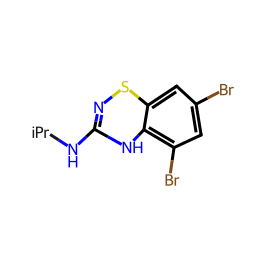 CC(C)NC1=NSc2cc(Br)cc(Br)c2N1